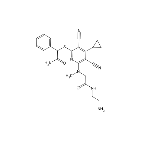 CN(CC(=O)NCCN)c1nc(SC(C(N)=O)c2ccccc2)c(C#N)c(C2CC2)c1C#N